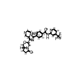 N[N+]12C=CN=CC1=C([C@H]1CN3C(=O)CC[C@@H]3CO1)N=C2c1ccc(C(=O)Nc2cc(C(F)(F)F)ccn2)cc1